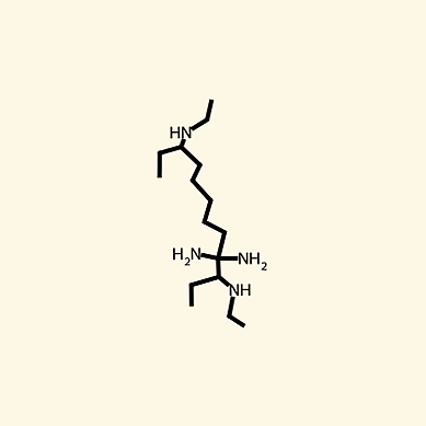 CCNC(CC)CCCCCC(N)(N)C(CC)NCC